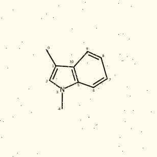 Cc1cn(C)c2ccc[c]c12